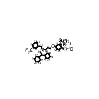 CS(=O)(=O)c1cc(OCCCN(Cc2cccc(C(F)(F)F)c2)CC(c2ccccc2)c2ccccc2)ccc1C=O